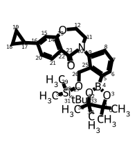 CC1(C)OB(c2cccc(N3CCOc4cc(C5CC5)ccc4C3=O)c2CO[Si](C)(C)C(C)(C)C)OC1(C)C